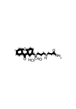 Cl.NC(=O)CCNCCCN(C=O)c1ccc2oc3ccccc3c(=O)c2c1